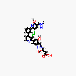 CNCc1ccc(-c2cccc(-c3ccnc(-c4ccc(CNC[C@@H](O)CC(=O)O)c(OC)c4)c3Cl)c2Cl)nc1OC